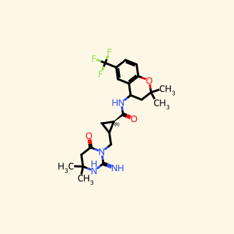 CC1(C)CC(=O)N(CC2C[C@H]2C(=O)NC2CC(C)(C)Oc3ccc(C(F)(F)F)cc32)C(=N)N1